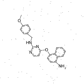 COc1ccc(CNc2nccc(Oc3ccc(N)c4ccccc34)n2)cc1